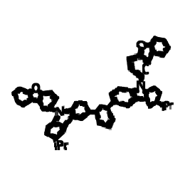 CC(C)c1ccc2c(c1)c1cc(-c3cccc(-c4ccc5c(c4)c4cc(C(C)C)ccc4n5-c4ccc5oc6ccccc6c5c4)c3)ccc1n2-c1ccc2oc3ccccc3c2c1